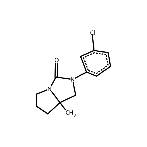 CC12CCCN1C(=O)N(c1cccc(Cl)c1)C2